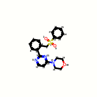 O=S(=O)(Cc1ccccc1-c1nccc(N2CCOCC2)n1)c1ccccc1